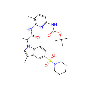 Cc1ccc(NC(=O)OC(C)(C)C)nc1NC(=O)C(C)n1cc(C)c2cc(S(=O)(=O)N3CCCCC3)ccc21